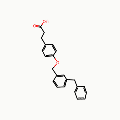 O=C(O)CCc1ccc(OCc2cccc(Cc3ccccc3)c2)cc1